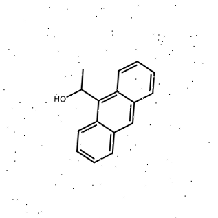 CC(O)c1c2ccccc2cc2ccccc12